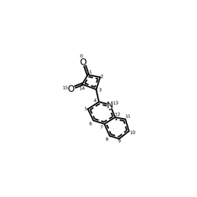 O=c1cc(-c2ccc3ccccc3n2)c1=O